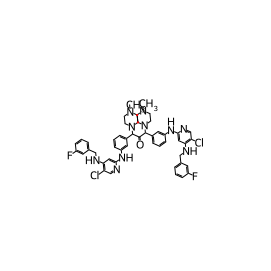 CN1CCN(C(C(=O)C(c2cccc(Nc3cc(NCc4cccc(F)c4)c(Cl)cn3)c2)N2CCN(C)CC2)c2cccc(Nc3cc(NCc4cccc(F)c4)c(Cl)cn3)c2)CC1